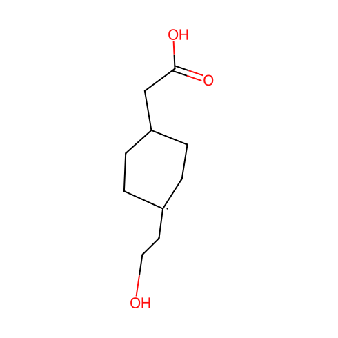 O=C(O)CC1CC[C](CCO)CC1